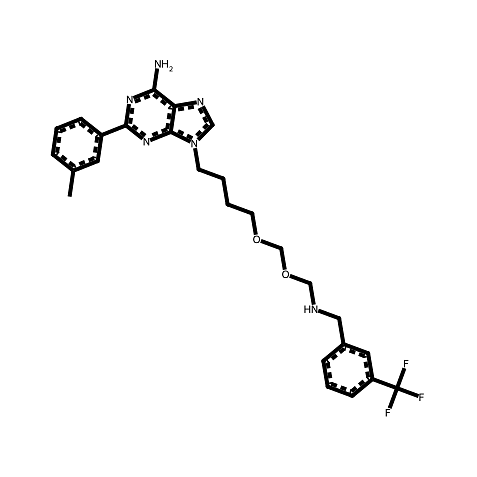 Cc1cccc(-c2nc(N)c3ncn(CCCCOCOCNCc4cccc(C(F)(F)F)c4)c3n2)c1